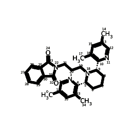 Cc1cnc([C@H]2CCC[C@@H](c3ncc(C)cc3C)N2CCCN2C(=O)c3ccccc3C2=O)c(C)c1